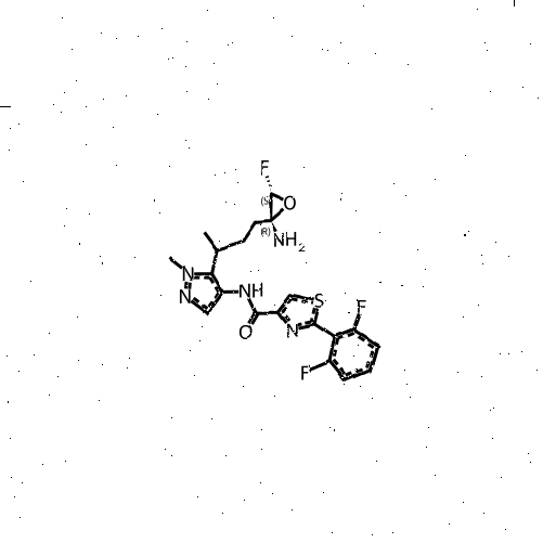 CC(CC[C@@]1(N)O[C@H]1F)c1c(NC(=O)c2csc(-c3c(F)cccc3F)n2)cnn1C